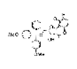 COc1ccc(C(OC[C@H]2O[C@@H](n3c(=O)cc[nH]c3=O)[C@@H](F)[C@@H]2O)(c2ccccc2)c2ccc(OC)cc2)cc1